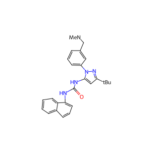 CNCc1cccc(-n2nc(C(C)(C)C)cc2NC(=O)Nc2cccc3ccccc23)c1